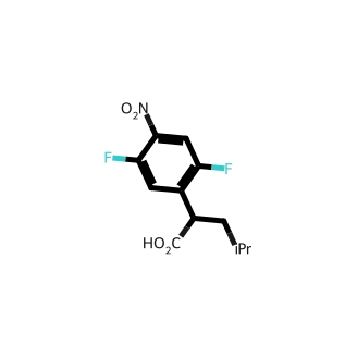 CC(C)CC(C(=O)O)c1cc(F)c([N+](=O)[O-])cc1F